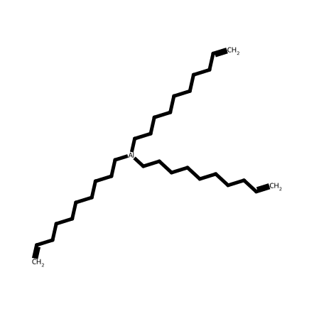 C=CCCCCCCC[CH2][Al]([CH2]CCCCCCCC=C)[CH2]CCCCCCCC=C